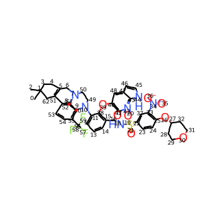 CC1(C)CCC(CN2CCN(c3cccc(C(=O)NS(=O)(=O)c4ccc(OC5CCOCC5)c([N+](=O)[O-])c4)c3Oc3cnc4[nH]ccc4c3)CC2)=C(c2ccc(C(F)(F)F)cc2)C1